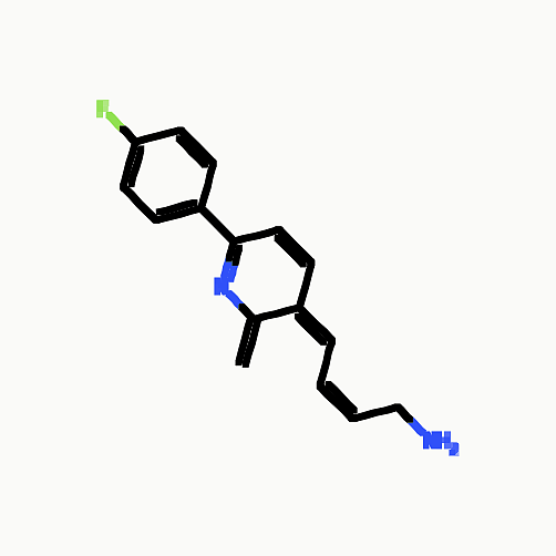 C=c1nc(-c2ccc(F)cc2)cc/c1=C/C=C\CN